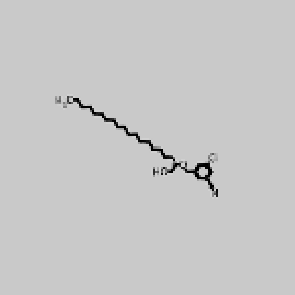 CCCCCCCCCCCCCCCCCC[C@H](CO)OCc1cc(Cl)cc(C#N)c1